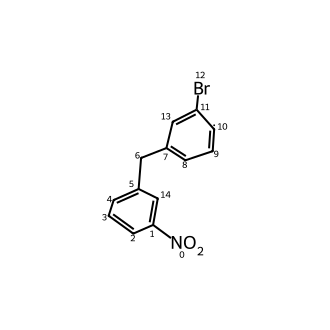 O=[N+]([O-])c1cccc(Cc2cc[c]c(Br)c2)c1